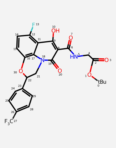 CC(C)(C)OC(=O)CNC(=O)c1c(O)c2c(F)ccc3c2n(c1=O)CC(c1ccc(C(F)(F)F)cc1)O3